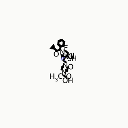 CC(C(=O)O)N1CCN(C/C=C2/CN(C(C(=O)C3CC3)c3ccccc3F)CCC2S)C(=O)C1.Cl.Cl